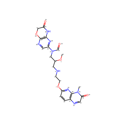 COC(CNCCOc1ccc2ncc(=O)n(C)c2n1)CN(C=O)c1cnc2c(n1)NC(=O)CO2